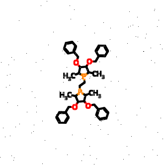 CC1C(OCc2ccccc2)C(OCc2ccccc2)C(C)P1CCP1C(C)C(OCc2ccccc2)C(OCc2ccccc2)C1C